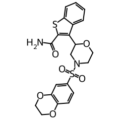 NC(=O)c1sc2ccccc2c1C1CN(S(=O)(=O)c2ccc3c(c2)OCCO3)CCO1